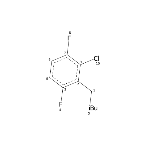 CCC(C)Cc1c(F)ccc(F)c1Cl